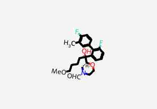 COCCCC[C@](O)(c1cccc(F)c1-c1ccc(F)c(C)c1)[C@H]1CN(C=O)CCO1